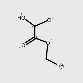 CCCCOC(=O)C(O)Cl